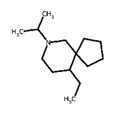 CCC1CCN(C(C)C)CC12CCCC2